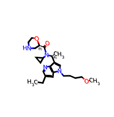 CCc1cnc2c([C@@H](C)N(C(=O)[C@H]3CNCCO3)C3CC3)cn(CCCCOC)c2c1